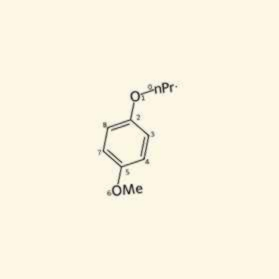 CC[CH]Oc1ccc(OC)cc1